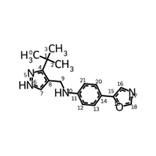 CC(C)(C)c1n[nH]cc1CNc1ccc(-c2cnco2)cc1